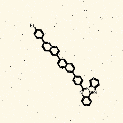 CCc1ccc(-c2ccc3cc(-c4ccc5cc(-c6ccc(-c7nc8ccccc8c8nc9ccccc9n78)cc6)ccc5c4)ccc3c2)cc1